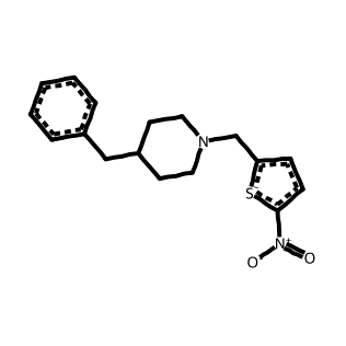 O=[N+]([O-])c1ccc(CN2CCC(Cc3ccccc3)CC2)s1